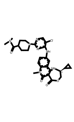 CN(C)C(=O)C1CCN(c2ncc(Cl)c(Nc3ccc4c(c3)c3c(c(=O)n4C)C(=O)OC[C@H](C4CC4)N3)n2)CC1